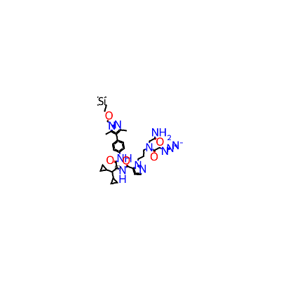 Cc1nn(COCC[Si](C)(C)C)c(C)c1-c1ccc(NC(=O)[C@@H](NC(=O)c2ccnn2CCCN(CC(N)=O)C(=O)CN=[N+]=[N-])C(C2CC2)C2CC2)cc1